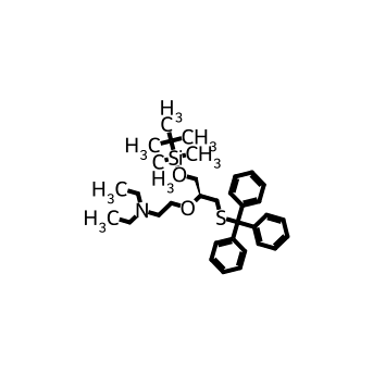 CCN(CC)CCO[C@@H](CO[Si](C)(C)C(C)(C)C)CSC(c1ccccc1)(c1ccccc1)c1ccccc1